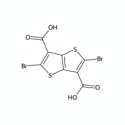 O=C(O)c1c(Br)sc2c(C(=O)O)c(Br)sc12